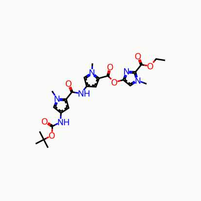 CCOC(=O)c1nc(OC(=O)c2cc(NC(=O)c3cc(NC(=O)OC(C)(C)C)cn3C)cn2C)cn1C